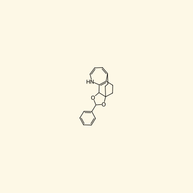 C1=CNC2=C3CCC4(CCC3=C1)OC(c1ccccc1)OC24